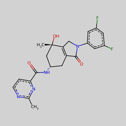 Cc1nccc(C(=O)N[C@H]2CC3=C(CN(c4cc(F)cc(F)c4)C3=O)[C@@](C)(O)C2)n1